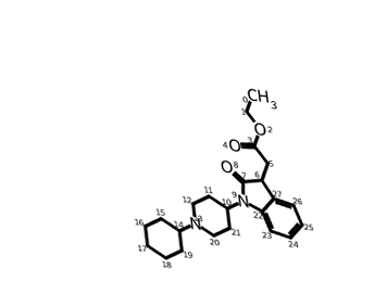 CCOC(=O)CC1C(=O)N(C2CCN(C3CCCCC3)CC2)c2ccccc21